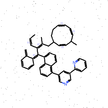 C=c1cccc/c1=C(C(/C=C\C)=C(/C)CC1/C=C\C(C)/C=C\C=C/CC1)\c1cccc2c(-c3cncc(-c4ccccn4)c3)cccc12